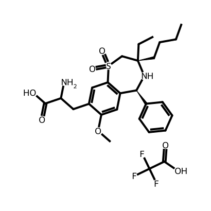 CCCC[C@]1(CC)CS(=O)(=O)c2cc(CC(N)C(=O)O)c(OC)cc2[C@H](c2ccccc2)N1.O=C(O)C(F)(F)F